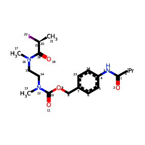 CC(C)C(=O)Nc1ccc(COC(=O)N(C)CCN(C)C(=O)[C@H](C)I)cc1